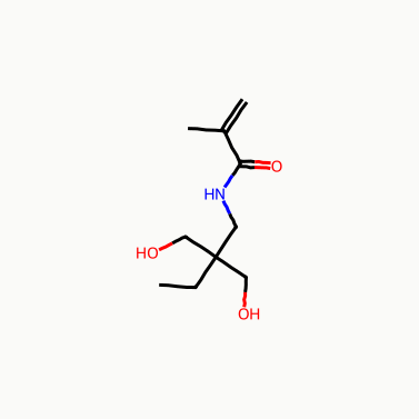 C=C(C)C(=O)NCC(CC)(CO)CO